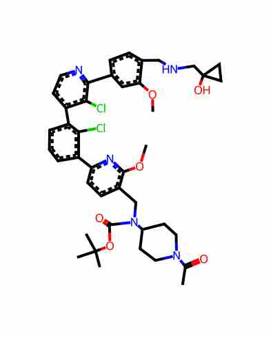 COc1cc(-c2nccc(-c3cccc(-c4ccc(CN(C(=O)OC(C)(C)C)C5CCN(C(C)=O)CC5)c(OC)n4)c3Cl)c2Cl)ccc1CNCC1(O)CC1